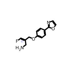 NC/C(=C\F)COc1ccc(-c2ncco2)cc1